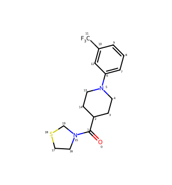 O=C(C1CCN(c2cccc(C(F)(F)F)c2)CC1)N1CCSC1